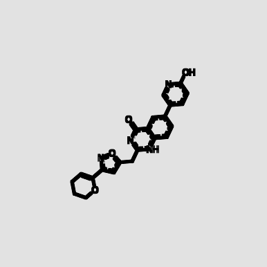 O=c1nc(Cc2cc(C3=CCCCO3)no2)[nH]c2ccc(-c3ccc(O)nc3)cc12